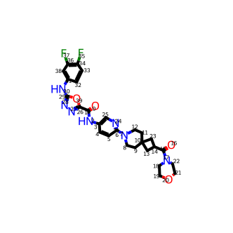 O=C(Nc1ccc(N2CCC3(CC2)CC(C(=O)N2CCOCC2)C3)nc1)c1nnc(Nc2ccc(F)c(F)c2)o1